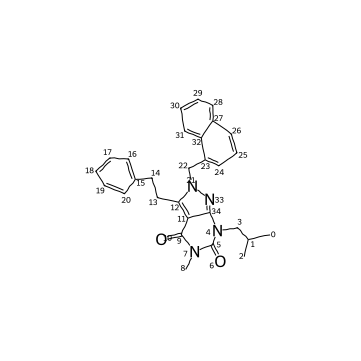 CC(C)Cn1c(=O)n(C)c(=O)c2c(CCc3ccccc3)n(Cc3cccc4ccccc34)nc21